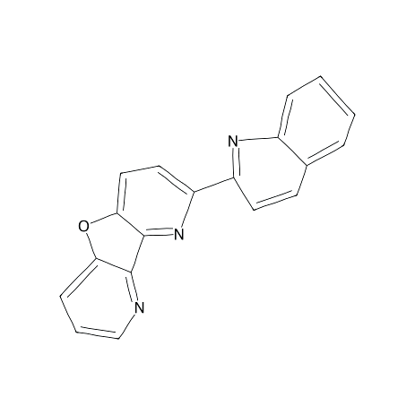 c1ccc2nc(-c3ccc4oc5cccnc5c4n3)ccc2c1